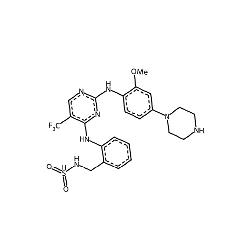 COc1cc(N2CCNCC2)ccc1Nc1ncc(C(F)(F)F)c(Nc2ccccc2CN[SH](=O)=O)n1